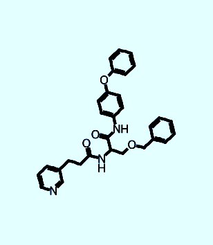 O=C(CCc1cccnc1)NC(COCc1ccccc1)C(=O)Nc1ccc(Oc2ccccc2)cc1